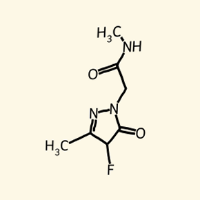 CNC(=O)CN1N=C(C)C(F)C1=O